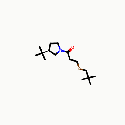 CC(C)(C)CSCCC(=O)N1CC[C@H](C(C)(C)C)C1